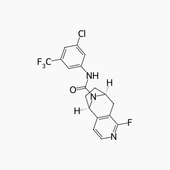 O=C(Nc1cc(Cl)cc(C(F)(F)F)c1)N1[C@H]2CC[C@@H]1c1ccnc(F)c1C2